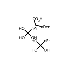 CCCC(O)(O)O.CCCC(O)(O)O.CCCCCCCCCCCC(=O)O